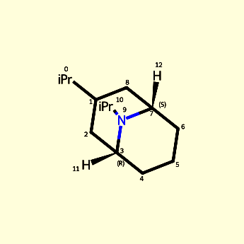 CC(C)C1C[C@H]2CCC[C@@H](C1)N2C(C)C